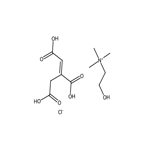 C[N+](C)(C)CCO.O=C(O)/C=C(\CC(=O)O)C(=O)O.[Cl-]